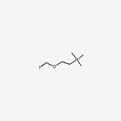 C[N+](C)(C)CCOCF